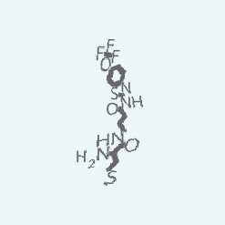 CSCCC(N)C(=O)NCCCC(=O)Nc1nc2ccc(OC(F)(F)F)cc2s1